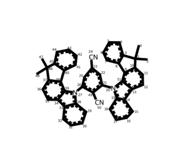 CC1(C)c2ccccc2-c2c1ccc1c3ccccc3n(-c3cc(C#N)cc(-n4c5ccccc5c5ccc6c(c54)-c4ccccc4C6(C)C)c3C#N)c21